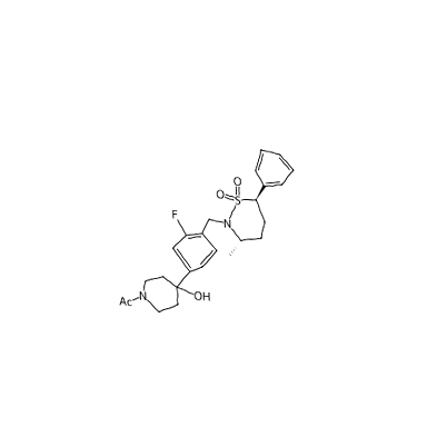 CC(=O)N1CCC(O)(c2ccc(CN3[C@@H](C)CC[C@H](c4ccccc4)S3(=O)=O)c(F)c2)CC1